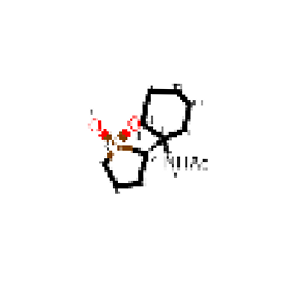 CC(=O)NC1([C@H]2CCCS2(=O)=O)CCCCC1